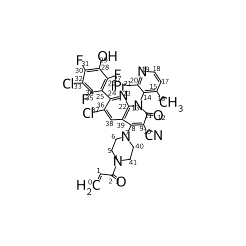 C=CC(=O)N1CCN(c2c(C#N)c(=O)n(-c3c(C)ccnc3C(C)C)c3nc(-c4c(F)c(O)c(F)c(Cl)c4F)c(Cl)cc23)CC1